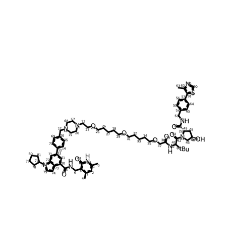 Cc1cc(C)c(CNC(=O)c2cc(-c3ccc(CN4CCN(CCOCCCCCOCCCCCOCC(=O)NC(C(=O)N5C[C@H](O)C[C@H]5C(=O)NCc5ccc(-c6scnc6C)cc5)C(C)(C)C)CC4)cc3)cc3c2ccn3C2CCCC2)c(=O)[nH]1